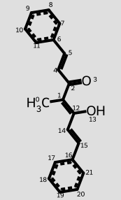 C/C(C(=O)/C=C/c1ccccc1)=C(O)\C=C\c1ccccc1